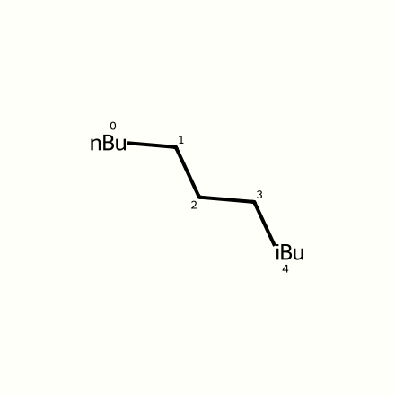 CCCCCCCC(C)CC